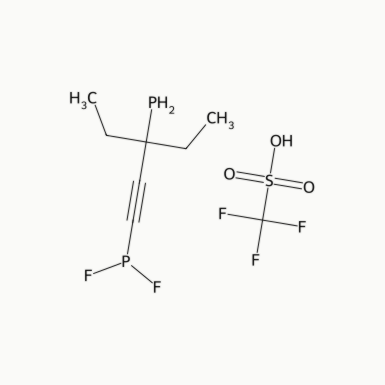 CCC(P)(C#CP(F)F)CC.O=S(=O)(O)C(F)(F)F